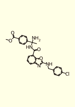 COC(=O)c1ccc(C(C)(N)NC(=O)c2cccc3nc(NCc4ccc(Cl)cc4)oc23)cc1